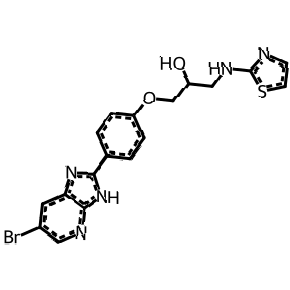 OC(CNc1nccs1)COc1ccc(-c2nc3cc(Br)cnc3[nH]2)cc1